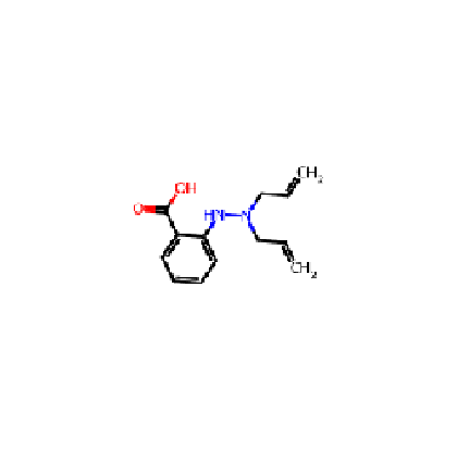 C=CCN(CC=C)Nc1ccccc1C(=O)O